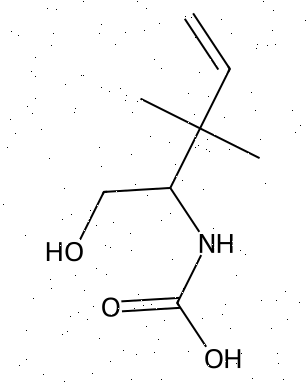 C=CC(C)(C)C(CO)NC(=O)O